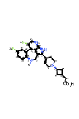 CN1Cc2c(C3=CCN(C4CC(CC(=O)O)C4)CC3)[nH]c3ncc(F)c(c23)-c2cc(F)ccc21